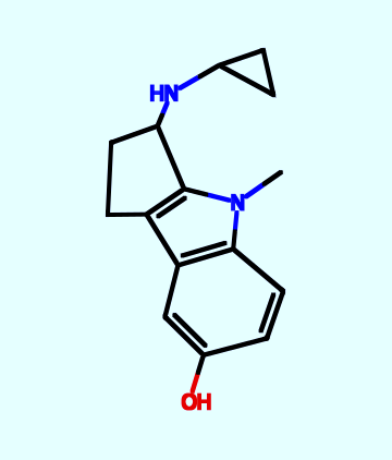 Cn1c2c(c3cc(O)ccc31)CCC2NC1CC1